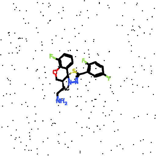 CC(=O)N1N=C(c2cc(F)ccc2F)S[C@]12c1cccc(F)c1OC[C@@H]2CCN